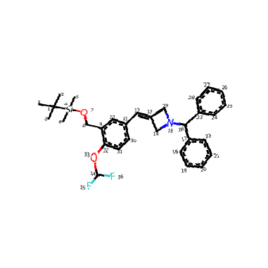 CC(C)(C)[Si](C)(C)OCc1cc(C=C2CN(C(c3ccccc3)c3ccccc3)C2)ccc1OC(F)F